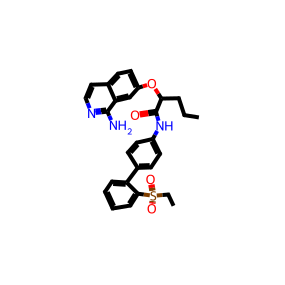 CCCC(Oc1ccc2ccnc(N)c2c1)C(=O)Nc1ccc(-c2ccccc2S(=O)(=O)CC)cc1